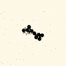 CC1(C)c2cc(-c3ccc(-n4c5ccccc5c5c4ccc4c6ccccc6n(-c6ccccc6)c45)cc3)ccc2-n2c3ccccc3c3c4sc5ccccc5c4cc1c32